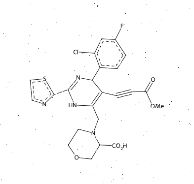 COC(=O)C#CC1=C(CN2CCOCC2C(=O)O)NC(c2nccs2)=NC1c1ccc(F)cc1Cl